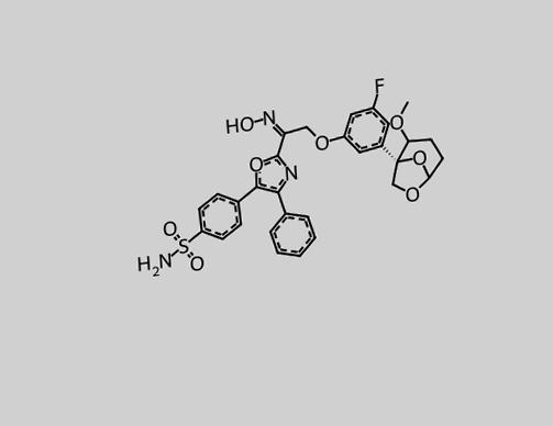 COC1CCC2OC[C@]1(c1cc(F)cc(OC/C(=N/O)c3nc(-c4ccccc4)c(-c4ccc(S(N)(=O)=O)cc4)o3)c1)O2